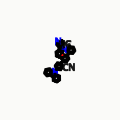 N#Cc1cc(-n2c3ccccc3c3ccccc32)ccc1-c1ccc(-c2cccc(C#N)c2-n2c3ccccc3c3cnccc32)cc1